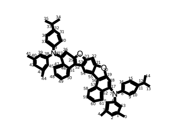 Cc1cc(C)cc(N(c2ccc(C(C)C)cc2)c2cc3oc4cc5oc6cc(N(c7ccc(C(C)C)cc7)c7cc(C)cc(C)c7)c7ccccc7c6c5cc4c3c3ccccc23)c1